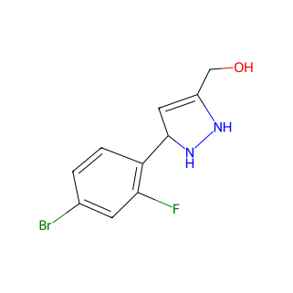 OCC1=CC(c2ccc(Br)cc2F)NN1